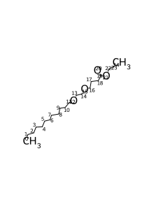 CCCCCCCCCCCCOCCOCCCC(=O)OCCC